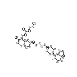 O=C(OCCCl)OCN1C(=O)CCc2ccc(OCCCCN3CCN(c4cccc5sccc45)CC3)cc21